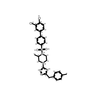 Cc1ccc(Cc2nsc(N3CCN(S(=O)(=O)c4ccc(-c5ccc(Cl)c(Cl)c5)cc4)C(C)C3)n2)cc1